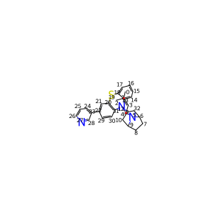 CC(C)=CCN1C2CCC1CC(N1c3ccccc3Sc3cc(-c4cccnc4)ccc31)C2